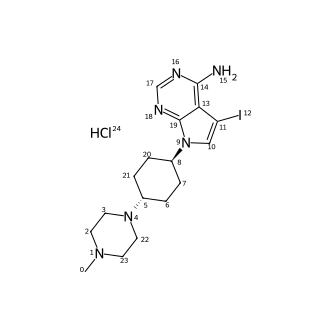 CN1CCN([C@H]2CC[C@H](n3cc(I)c4c(N)ncnc43)CC2)CC1.Cl